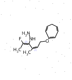 CC(=C/COC1=CC=CCC=C1)/C(NN)=C(\C)F